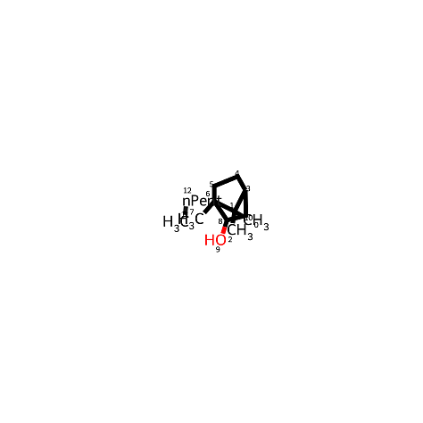 CC1(C)C2CCC1(C)C(O)C2.CCCCCC